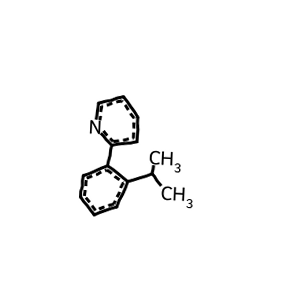 CC(C)c1ccccc1-c1ccccn1